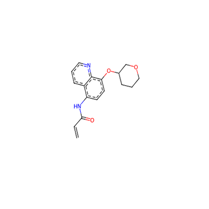 C=CC(=O)Nc1ccc(OC2CCCOC2)c2ncccc12